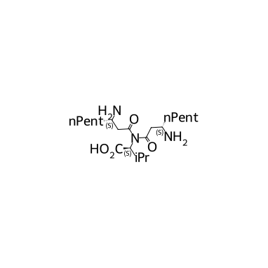 CCCCC[C@H](N)CC(=O)N(C(=O)C[C@@H](N)CCCCC)[C@H](C(=O)O)C(C)C